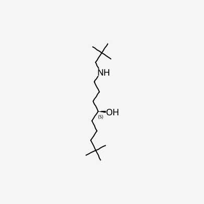 CC(C)(C)CCC[C@H](O)CCCNCC(C)(C)C